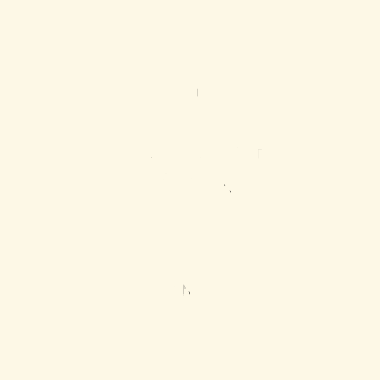 CCC(=O)Oc1c(-c2ccc(C#N)cc2)n(C)c2c(F)cc(F)cc12